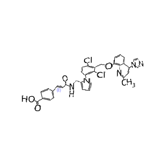 Cc1cc(-n2ccnc2)c2cccc(OCc3c(Cl)ccc(-n4cccc4CNC(=O)/C=C/c4ccc(C(=O)O)cc4)c3Cl)c2n1